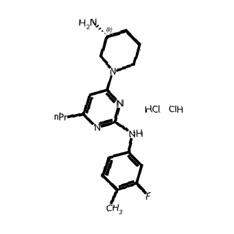 CCCc1cc(N2CCC[C@@H](N)C2)nc(Nc2ccc(C)c(F)c2)n1.Cl.Cl